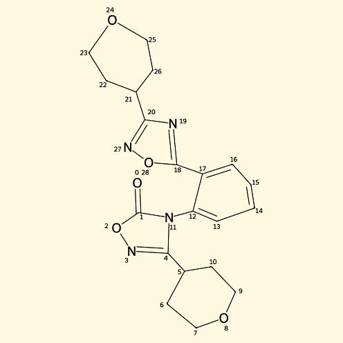 O=c1onc(C2CCOCC2)n1-c1ccccc1-c1nc(C2CCOCC2)no1